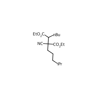 CCCCC(C(=O)OCC)C(C#N)(CCCC(C)C)C(=O)OCC